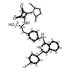 CC1CCC(C)N1c1c(N[C@@H](Cc2ccc(Nc3nc(-c4ccc(F)cc4)cc4ccccc34)cc2)C(=O)O)c(=O)c1=O